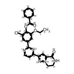 CCOc1cc(-c2nccc(-c3cc4n(n3)CCNC4=O)n2)cc(Cl)c1OC(=O)c1ccccc1